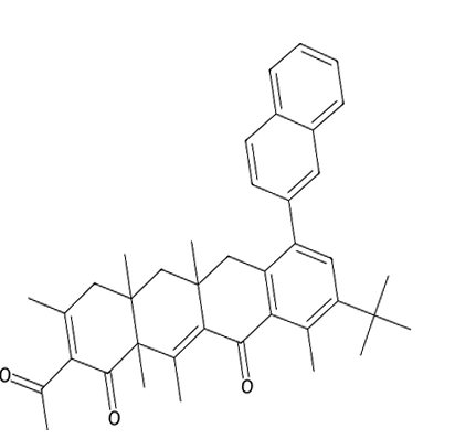 CC(=O)C1=C(C)CC2(C)CC3(C)Cc4c(-c5ccc6ccccc6c5)cc(C(C)(C)C)c(C)c4C(=O)C3=C(C)C2(C)C1=O